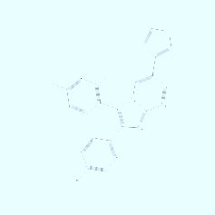 Clc1ccc(-c2nc3ncc(-c4ccsc4)cn3c2-c2ccc(Cl)cc2Cl)cc1